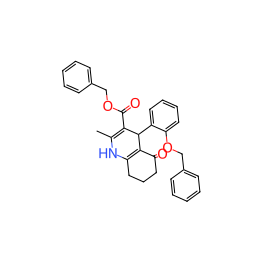 CC1=C(C(=O)OCc2ccccc2)C(c2ccccc2OCc2ccccc2)C2=C(CCCC2=O)N1